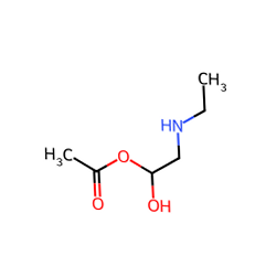 CCNCC(O)OC(C)=O